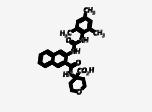 Cc1cc(C)c(NC(=O)Nc2cc3ccccc3cc2C(=O)NC2(C(=O)O)CCOCC2)c(C)c1